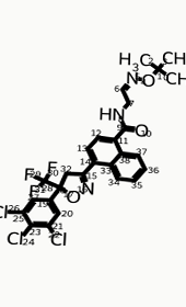 CC(C)(C)O/N=C\CNC(=O)c1ccc(C2=NOC(c3cc(Cl)c(Cl)c(Cl)c3)(C(F)(F)F)C2)c2ccccc12